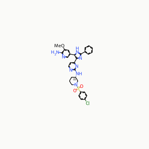 COc1cc(-c2[nH]c(-c3ccccc3)nc2-c2ccnc(N[C@H]3CCCN(S(=O)(=O)c4ccc(Cl)cc4)C3)n2)cnc1N